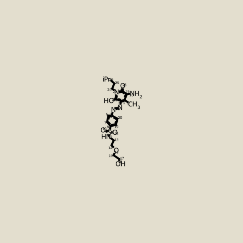 Cc1c(/N=N/c2ccc(S(=O)(=O)NCCOCCO)cc2)c(O)n(CCC(C)C)c(=O)c1N